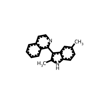 Cc1ccc2[nH]c(C)c(-c3nccc4ccccc34)c2c1